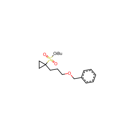 CC(C)COS(=O)(=O)C1(CCCOCc2ccccc2)CC1